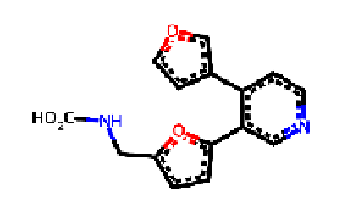 O=C(O)NCc1ccc(-c2cnccc2-c2ccoc2)o1